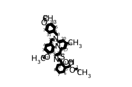 CCOC(=O)C1CCCCC1(O)c1ncc(-c2cc(C)cc(N(Cc3ccc(OC)cc3)Cc3ccc(OC)cc3)n2)s1